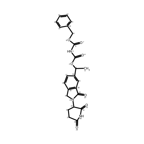 CC(OC(=O)NC(=O)OCc1ccccc1)c1ccc2c(c1)C(=O)N(C1CCC(=O)NC1=O)C2